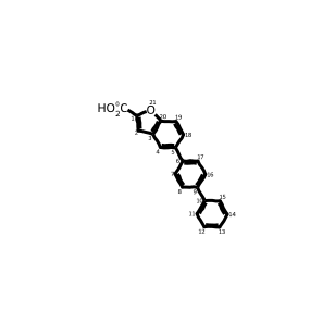 O=C(O)c1cc2cc(-c3ccc(-c4ccccc4)cc3)ccc2o1